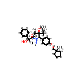 [2H]C([2H])([2H])C(OC)([C@H](NC(=O)[C@](C)(O)c1ccccc1)c1ccc(OCC2(C)CCCC2)cc1)C([2H])([2H])[2H]